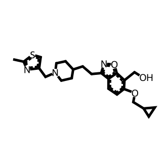 Cc1nc(CN2CCC(CCc3noc4c(CO)c(OCC5CC5)ccc34)CC2)cs1